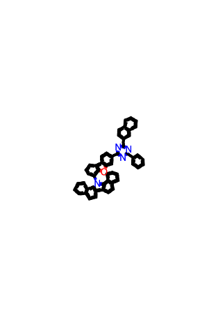 c1ccc(-c2nc(-c3ccc4ccccc4c3)nc(-c3ccc4c(c3)oc3c(-n5c6c7ccccc7ccc6c6ccc7ccccc7c65)cccc34)n2)cc1